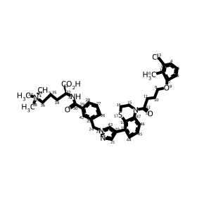 Cc1c(Cl)cccc1OCCCC(=O)N1CCSc2c(-c3cnn(Cc4cccc(C(=O)N[C@@H](CCC[N+](C)(C)C)C(=O)O)c4)c3)cccc21